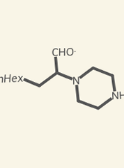 CCCCCCCC([C]=O)N1CCNCC1